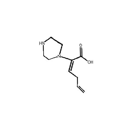 C=CC/C=C(\C(=O)O)N1CCNCC1